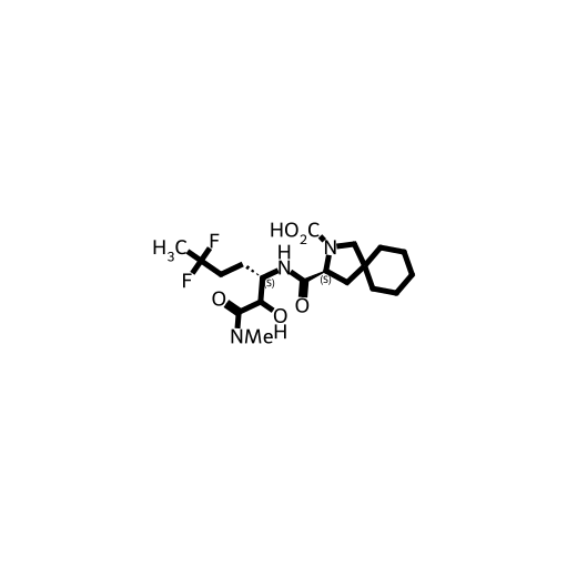 CNC(=O)C(O)[C@H](CCC(C)(F)F)NC(=O)[C@@H]1CC2(CCCCC2)CN1C(=O)O